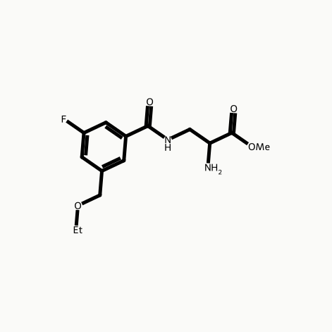 CCOCc1cc(F)cc(C(=O)NCC(N)C(=O)OC)c1